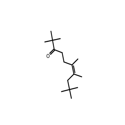 C/C(CCC(=O)C(C)(C)C)=C(\C)CC(C)(C)C